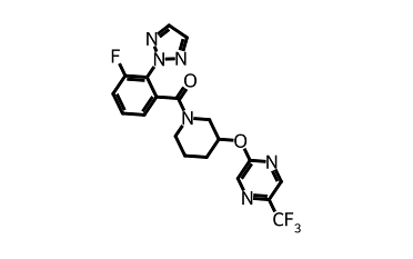 O=C(c1cccc(F)c1-n1nccn1)N1CCCC(Oc2cnc(C(F)(F)F)cn2)C1